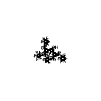 O=Cc1c(-c2cc(C(=O)OCc3c(F)c(F)c(F)c(F)c3F)cc(C(=O)OCc3c(F)c(F)c(F)c(F)c3F)c2)cc(O)cc1-c1cc(C(=O)OCc2c(F)c(F)c(F)c(F)c2F)cc(C(=O)OCc2c(F)c(F)c(F)c(F)c2F)c1